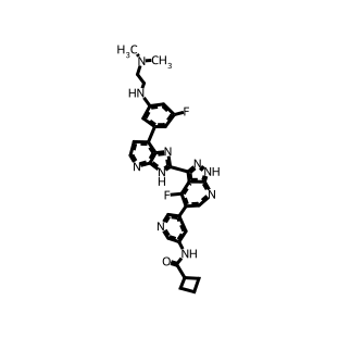 CN(C)CCNc1cc(F)cc(-c2ccnc3[nH]c(-c4n[nH]c5ncc(-c6cncc(NC(=O)C7CCC7)c6)c(F)c45)nc23)c1